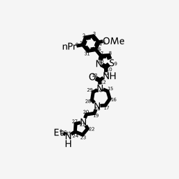 CCCc1ccc(OC)c(-c2csc(NC(=O)N3CCCN(CCN4CCC(NCC)C4)CC3)n2)c1